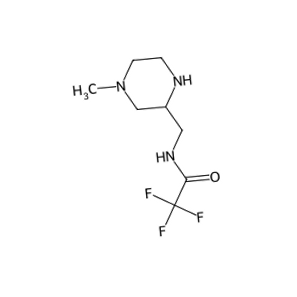 CN1CCNC(CNC(=O)C(F)(F)F)C1